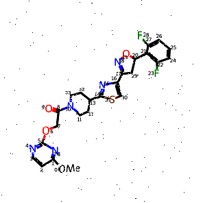 COc1ccnc(OCC(=O)N2CCC(c3nc(C4=NOC(c5c(F)cccc5F)C4)cs3)CC2)n1